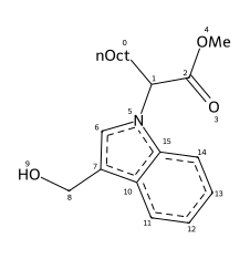 CCCCCCCCC(C(=O)OC)n1cc(CO)c2ccccc21